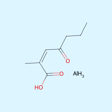 CCCC(=O)C=C(C)C(=O)O.[AlH3]